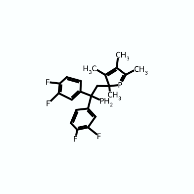 CC1=PC(C)(CC(P)(c2ccc(F)c(F)c2)c2ccc(F)c(F)c2)C(C)=C1C